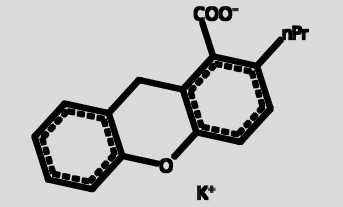 CCCc1ccc2c(c1C(=O)[O-])Cc1ccccc1O2.[K+]